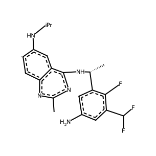 Cc1nc(N[C@H](C)c2cc(N)cc(C(F)F)c2F)c2cc(NC(C)C)[c]cc2n1